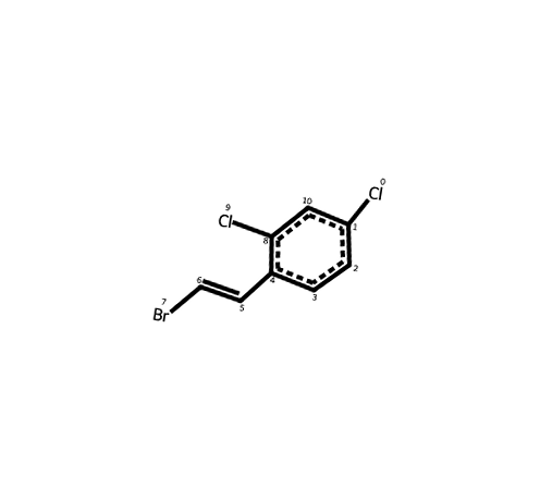 Clc1ccc(C=CBr)c(Cl)c1